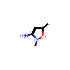 CC1C=C(N)N(C)O1